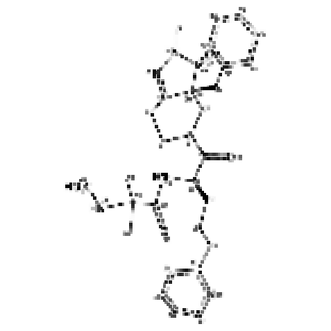 CN1N=C2CCN(C(=O)[C@@H](CCCc3ccccn3)NC(=O)C(C)(C)NC(=O)O)C[C@@]2(Cc2ccccc2)C1=O